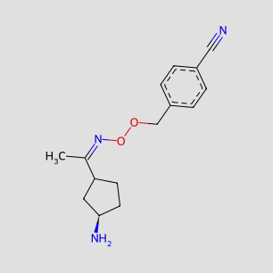 CC(=NOOCc1ccc(C#N)cc1)C1CC[C@@H](N)C1